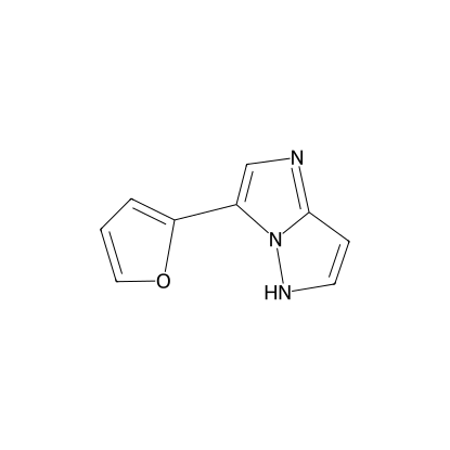 c1coc(-c2cnc3cc[nH]n23)c1